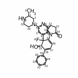 CC1CN(c2cc(C3(F)C(N4CCCC4=O)=CC=C(c4ccccc4)[C@H]3O)ccn2)CCN1